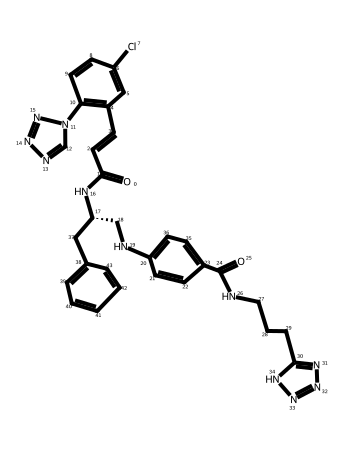 O=C(/C=C/c1cc(Cl)ccc1-n1cnnn1)N[C@H](CNc1ccc(C(=O)NCCCc2nnn[nH]2)cc1)Cc1ccccc1